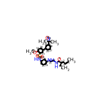 C=C/C(=C\C=C/C)C(=O)NCCNc1cccc(NS(=O)(=O)c2cc(-c3cccc(C(C)(C)N=O)c3)ccc2OC)c1